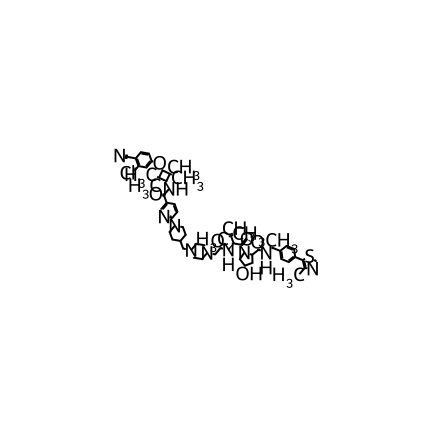 Cc1ncsc1-c1ccc([C@H](C)NC(=O)C2C[C@@H](O)CN2C(=O)[C@@H](NC(=O)CN2CCN(CC3CCN(c4ccc(C(=O)N[C@H]5C(C)(C)[C@H](Oc6ccc(C#N)c(Cl)c6)C5(C)C)cn4)CC3)CC2)C(C)(C)C)cc1